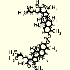 COC1CC2(C)C(CC(O)C3C4(C)CCC(OCOC5CCC6(C)C(CCC7(C)C6C(O)CC6/C(=C(\CCC=C(C)C)C(=O)O)C(OC)CC67C)C5C)C(C)C4CCC32C)/C1=C(\CCC=C(C)C)C(=O)O